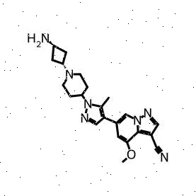 COc1cc(-c2cnn(C3CCN([C@H]4C[C@H](N)C4)CC3)c2C)cn2ncc(C#N)c12